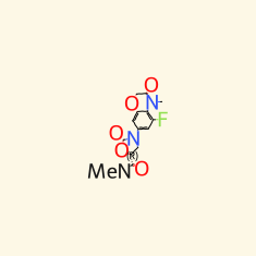 CNC(=O)[C@H]1CN(c2cc(F)c3c(c2)OCC(=O)N3C)C(=O)O1